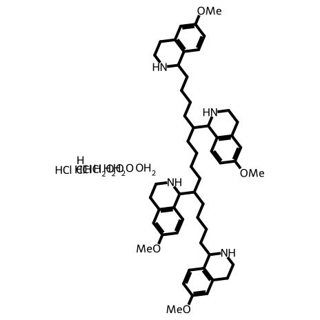 COc1ccc2c(c1)CCNC2CCCCC(CCCCC(CCCCC1NCCc2cc(OC)ccc21)C1NCCc2cc(OC)ccc21)C1NCCc2cc(OC)ccc21.Cl.Cl.Cl.Cl.O.O.O.O